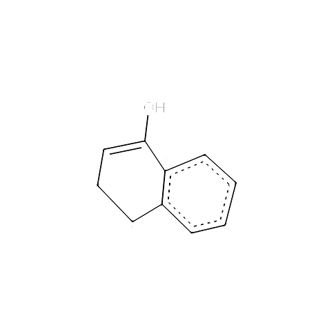 OC1=CCCc2ccccc21